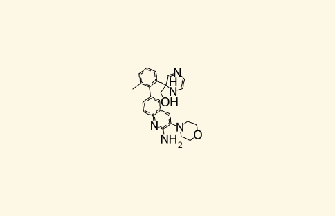 Cc1cccc(C2(CO)C=NC=CN2)c1-c1ccc2nc(N)c(N3CCOCC3)cc2c1